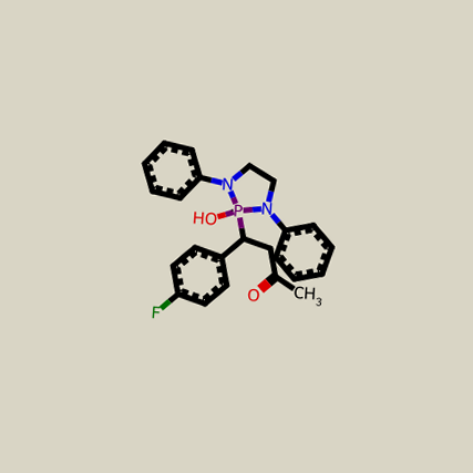 CC(=O)CC(c1ccc(F)cc1)[P]1(O)N(c2ccccc2)CCN1c1ccccc1